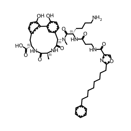 C[C@@H]1NC(=O)[C@@H](N(C)C(=O)[C@H](CCCCN)NC(=O)CCNC(=O)c2coc(CCCCCCCCc3ccccc3)n2)c2ccc(O)c(c2)-c2cc(ccc2O)C[C@@H](C(=O)O)NC1=O